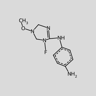 CON1CN=C(Nc2ccc(N)cc2)N(F)C1